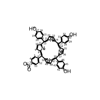 O=[N+]([O-])c1ccc(C2=C3C=CC(=N3)C(c3ccc(O)cc3)=C3C=CC(=N3)C(c3ccc(O)cc3)=C3C=CC(=N3)C(c3ccc(O)cc3)=C3C=CC2=N3)cc1